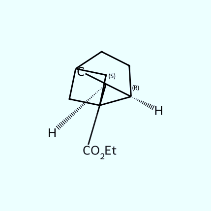 CCOC(=O)[C@H]1C[C@H]2CCC3(CC2C3)C1